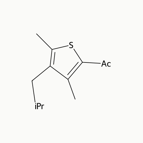 CC(=O)c1sc(C)c(CC(C)C)c1C